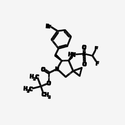 CC(C)(C)OC(=O)N1CC2(CC2)[C@H](NS(=O)(=O)C(F)F)[C@@H]1Cc1cccc(Br)c1